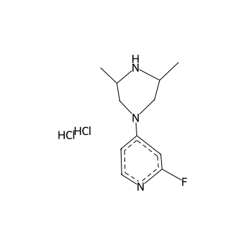 CC1CN(c2ccnc(F)c2)CC(C)N1.Cl.Cl